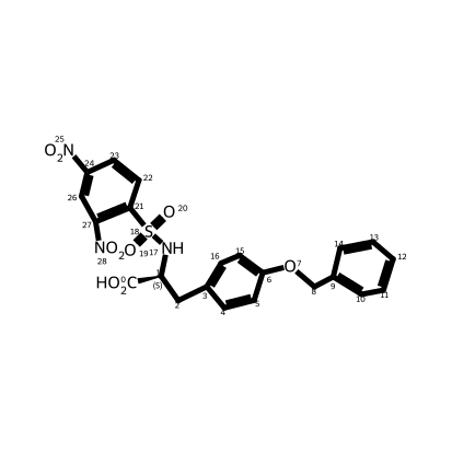 O=C(O)[C@H](Cc1ccc(OCc2ccccc2)cc1)NS(=O)(=O)c1ccc([N+](=O)[O-])cc1[N+](=O)[O-]